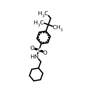 CCC(C)(C)c1ccc(S(=O)(=O)NCC2CCCCC2)cc1